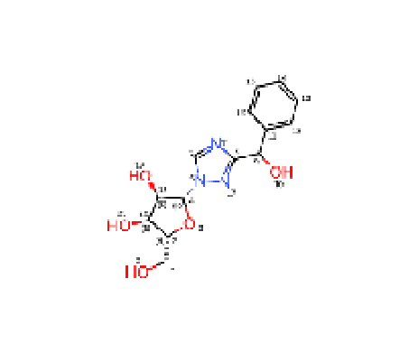 OC[C@H]1O[C@@H](n2cnc(C(O)c3ccccc3)n2)[C@H](O)[C@@H]1O